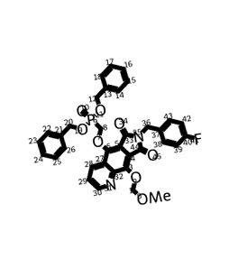 COCOc1c2c(c(OCP(=O)(OCc3ccccc3)OCc3ccccc3)c3cccnc13)C(=O)N(Cc1ccc(F)cc1)C2=O